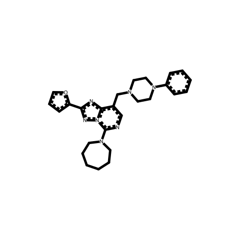 c1ccc(N2CCN(Cc3cnc(N4CCCCCC4)n4nc(-c5ccco5)nc34)CC2)cc1